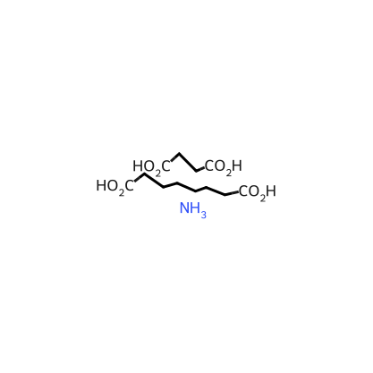 N.O=C(O)CCC(=O)O.O=C(O)CCCCCCC(=O)O